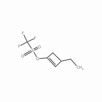 CCC1C=C(OS(=O)(=O)C(F)(F)F)C1